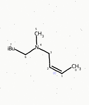 C/C=C\CN(C)CC(C)CC